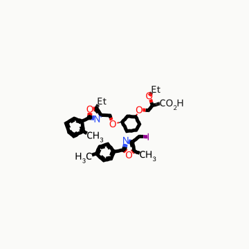 CCOC(CO[C@@H]1CCC[C@H](OCc2nc(-c3ccccc3C)oc2CC)C1)C(=O)O.Cc1ccc(-c2nc(CI)c(C)o2)cc1